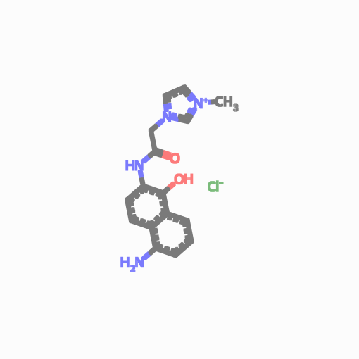 C[n+]1ccn(CC(=O)Nc2ccc3c(N)cccc3c2O)c1.[Cl-]